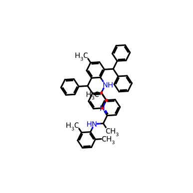 Cc1cc(C(c2ccccc2)c2ccccc2)c(NC(C)c2cccc(C(C)Nc3c(C)cccc3C)n2)c(C(c2ccccc2)c2ccccc2)c1